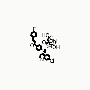 O=C(/C=C/c1ccc(F)cc1)c1ccc(Nc2ccnc3cc(Cl)ccc23)cc1.O=C(O)CC(O)(CC(=O)O)C(=O)O